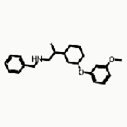 COc1cccc(O[C@@H]2CCCC(C(C)CNCc3ccccc3)C2)c1